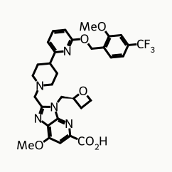 COc1cc(C(F)(F)F)ccc1COc1cccc(C2CCN(Cc3nc4c(OC)cc(C(=O)O)nc4n3C[C@@H]3CCO3)CC2)n1